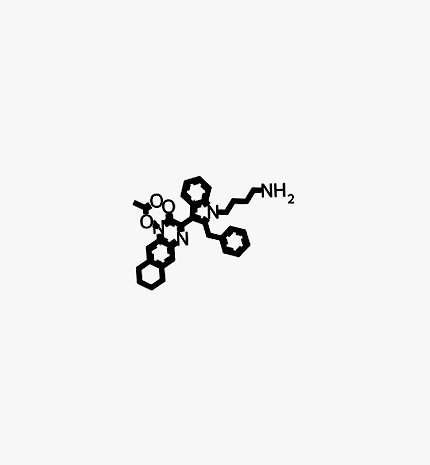 CC(=O)On1c(=O)c(-c2c(Cc3ccccc3)n(CCCCN)c3ccccc23)nc2cc3c(cc21)CCCC3